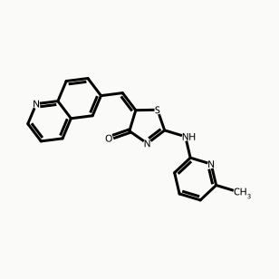 Cc1cccc(NC2=NC(=O)C(=Cc3ccc4ncccc4c3)S2)n1